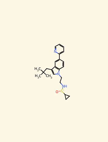 CC(C)(C)Cc1cn(CCN[S+]([O-])C2CC2)c2ccc(-c3ccccn3)cc12